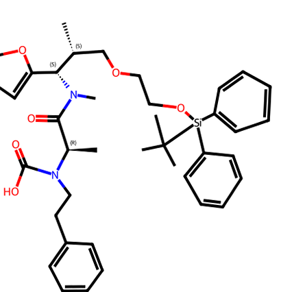 C[C@H](COCCO[Si](c1ccccc1)(c1ccccc1)C(C)(C)C)[C@@H](c1ccco1)N(C)C(=O)[C@@H](C)N(CCc1ccccc1)C(=O)O